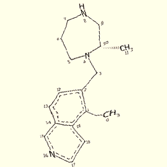 Cc1c(CN2CCCNC[C@@H]2C)ccc2cnccc12